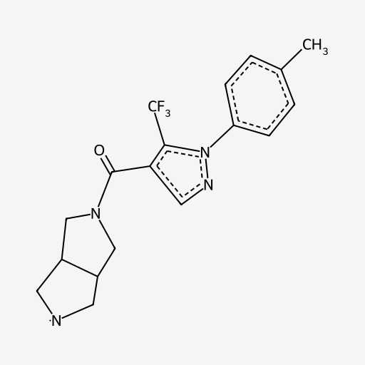 Cc1ccc(-n2ncc(C(=O)N3CC4C[N]CC4C3)c2C(F)(F)F)cc1